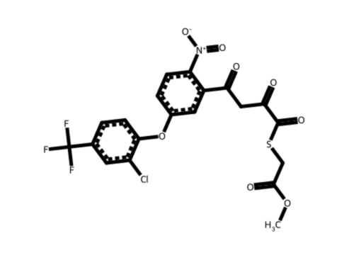 COC(=O)CSC(=O)C(=O)CC(=O)c1cc(Oc2ccc(C(F)(F)F)cc2Cl)ccc1[N+](=O)[O-]